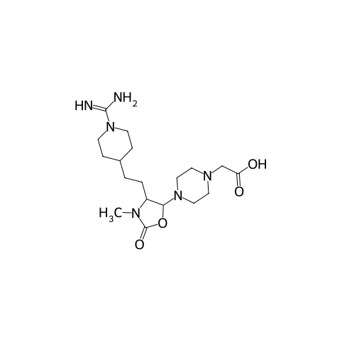 CN1C(=O)OC(N2CCN(CC(=O)O)CC2)C1CCC1CCN(C(=N)N)CC1